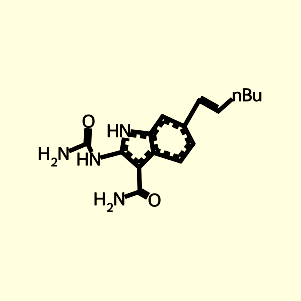 CCCC/C=C/c1ccc2c(C(N)=O)c(NC(N)=O)[nH]c2c1